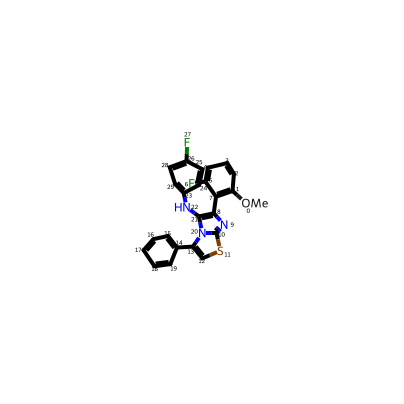 COc1cccc(F)c1-c1nc2scc(-c3ccccc3)n2c1Nc1ccc(F)cc1